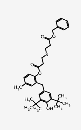 Cc1ccc(OC(=O)CCSCCC(=O)OCc2ccccc2)c(Cc2cc(C(C)(C)C)c(O)c(C(C)(C)C)c2)c1